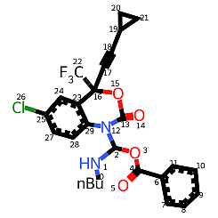 CCCCNC(OC(=O)c1ccccc1)N1C(=O)OC(C#CC2CC2)(C(F)(F)F)c2cc(Cl)ccc21